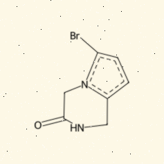 O=C1Cn2c(Br)ccc2CN1